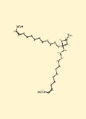 CCCCCCCC/C=C\CCCCCCCCSCC1(CSCCCCCCCC/C=C\CCCCCCCC)CN(CCC)C1